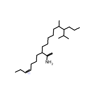 C=C(N)C(CCC/C=C\CC)CCCCCC(C)C(CCC)C(C)C